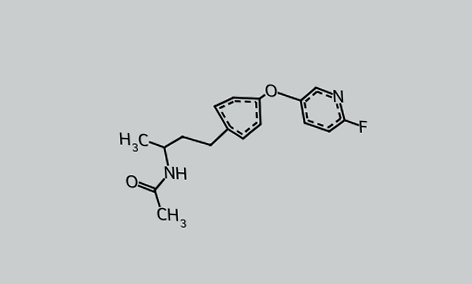 CC(=O)NC(C)CCc1ccc(Oc2ccc(F)nc2)cc1